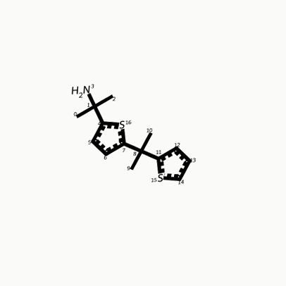 CC(C)(N)c1ccc(C(C)(C)c2cccs2)s1